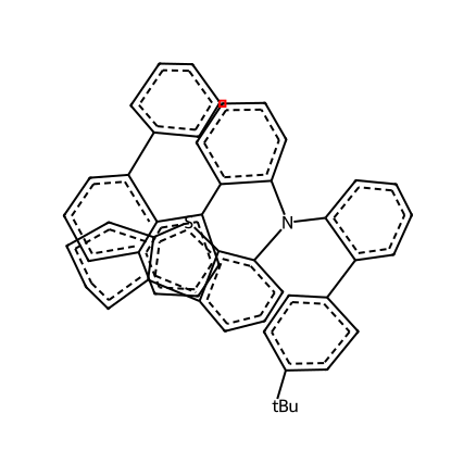 CC(C)(C)c1ccc(-c2ccccc2N(c2ccccc2-c2cccc3cccc(-c4ccccc4)c23)c2cccc3c2sc2ccccc23)cc1